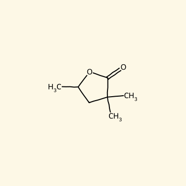 CC1CC(C)(C)C(=O)O1